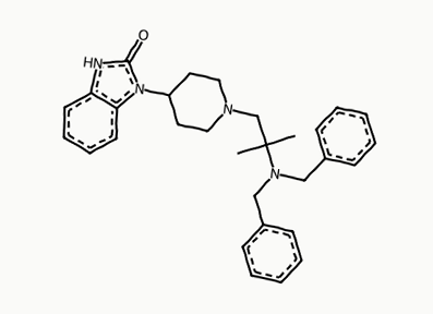 CC(C)(CN1CCC(n2c(=O)[nH]c3ccccc32)CC1)N(Cc1ccccc1)Cc1ccccc1